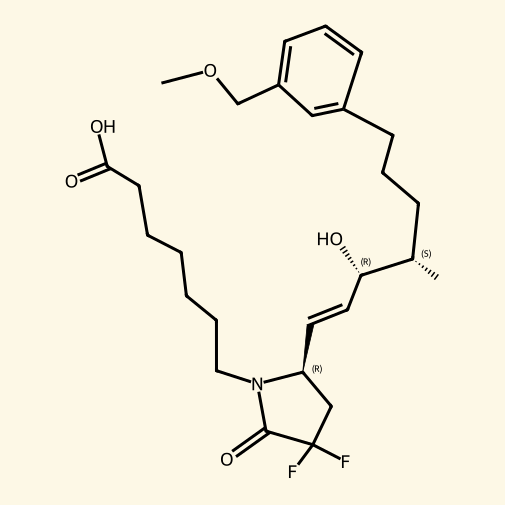 COCc1cccc(CCC[C@H](C)[C@@H](O)C=C[C@H]2CC(F)(F)C(=O)N2CCCCCCC(=O)O)c1